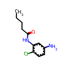 CCCCC(=O)Nc1cc(N)ccc1Cl